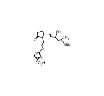 CCCC[C@H](C)C[C@H](O)/C=C/[C@H]1CCC(=O)[C@@H]1CCSc1nc(C(=O)O)cs1